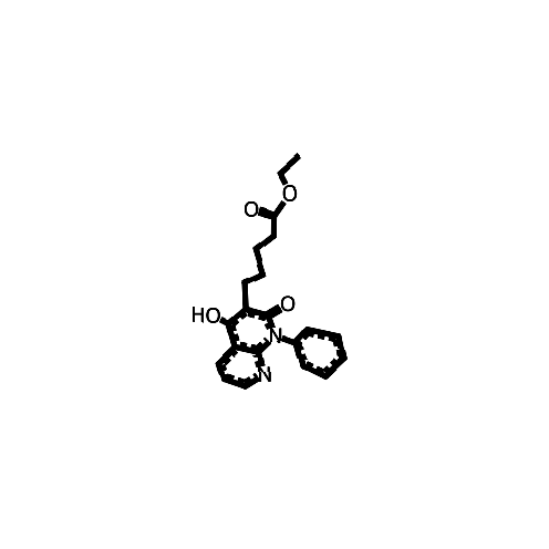 CCOC(=O)CCCCc1c(O)c2cccnc2n(-c2ccccc2)c1=O